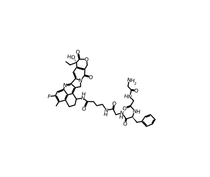 CC[C@@]1(O)C(=O)OCc2c1cc1n(c2=O)Cc2c-1nc1cc(F)c(C)c3c1c2C(NC(=O)CCCNC(=O)CNC(=O)[C@H](Cc1ccccc1)NC(=O)CNC(=O)CN)CC3